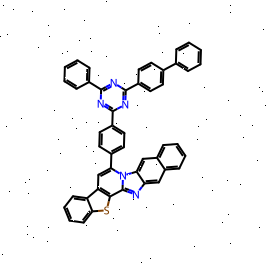 c1ccc(-c2ccc(-c3nc(-c4ccccc4)nc(-c4ccc(-c5cc6c7ccccc7sc6c6nc7cc8ccccc8cc7n56)cc4)n3)cc2)cc1